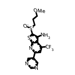 COCCC[S+]([O-])c1sc2nc(-c3cncnc3)cc(C(F)(F)F)c2c1N